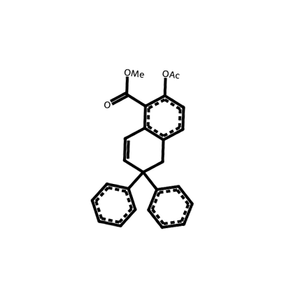 COC(=O)c1c(OC(C)=O)ccc2c1C=CC(c1ccccc1)(c1ccccc1)C2